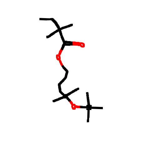 CCC(C)(C)C(=O)OCC[Si](C)(C)O[Si](C)(C)C